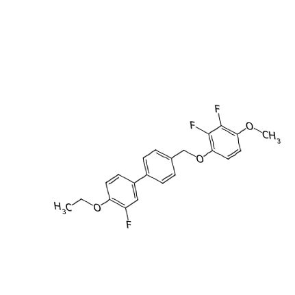 CCOc1ccc(-c2ccc(COc3ccc(OC)c(F)c3F)cc2)cc1F